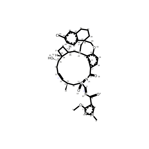 COc1nn(C)cc1C(=O)/N=C/S1(=O)=NC(=O)c2ccc3c(c2)N(C[C@@H]2CC[C@H]2[C@@H](O)C/C=C\[C@H](C)C1)C[C@@]1(CCCc2cc(Cl)ccc21)CO3